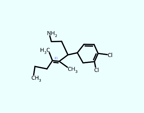 CCC/C(C)=C(\C)C(CCN)C1C=CC(Cl)=C(Cl)C1